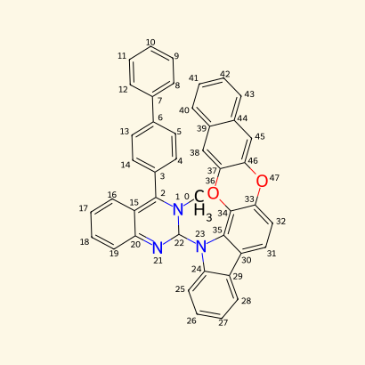 CN1C(c2ccc(-c3ccccc3)cc2)=c2ccccc2=NC1n1c2ccccc2c2ccc3c(c21)Oc1cc2ccccc2cc1O3